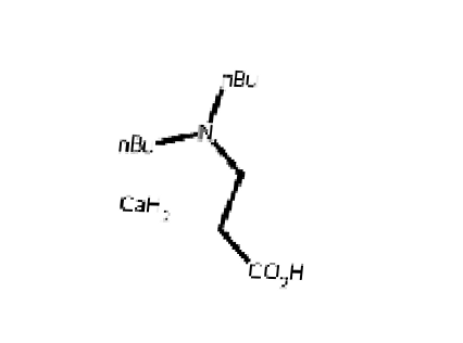 CCCCN(CCCC)CCC(=O)O.[CaH2]